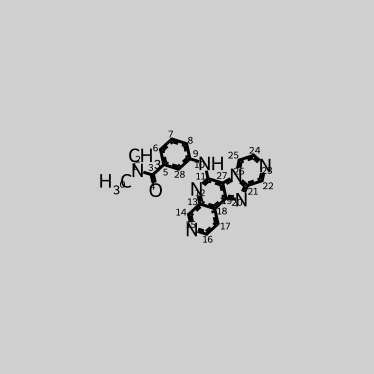 CN(C)C(=O)c1cccc(Nc2nc3cnccc3c3nc4cnccn4c23)c1